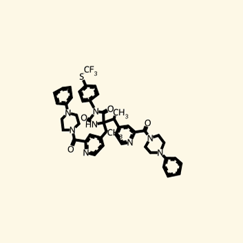 CC(c1ccnc(C(=O)N2CCN(c3ccccc3)CC2)c1)C1(C(C)c2ccnc(C(=O)N3CCN(c4ccccc4)CC3)c2)NC(=O)N(c2ccc(SC(F)(F)F)cc2)C1=O